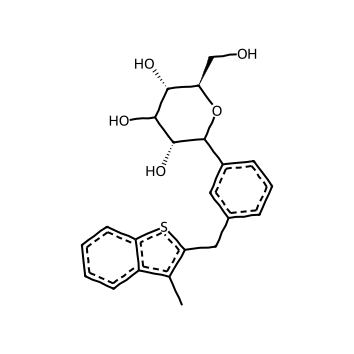 Cc1c(Cc2cccc(C3O[C@H](CO)[C@@H](O)C(O)[C@H]3O)c2)sc2ccccc12